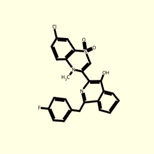 CN1C(c2nc(Cc3ccc(F)cc3)c3ccccc3c2O)=CS(=O)(=O)c2cc(Cl)ccc21